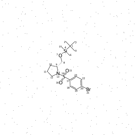 CC(C)(C)[Si](C)(C)OC[C@H]1CCCN1S(=O)(=O)c1ccc(Br)cc1